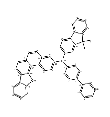 CC1(C)c2ccccc2-c2ccc(N(c3ccc(-c4cccnc4)cc3)c3ccc4c(ccc5ccc6c7ccccc7oc6c54)c3)cc21